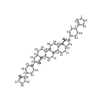 c1csc(-c2ccc(-c3cc4ccc5c6ccc7c(ccc8cc(-c9ccc(-c%10cccs%10)cc9)sc87)c6ccc5c4s3)cc2)c1